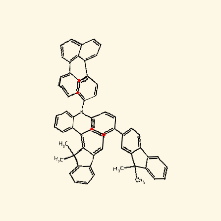 CC1(C)c2ccccc2-c2ccc(-c3ccc(N(c4ccc(-c5cccc6cccc(-c7ccccc7)c56)cc4)c4ccccc4-c4cccc5c4C(C)(C)c4ccccc4-5)cc3)cc21